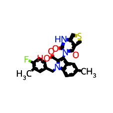 Cc1ccc2c(c1)c(-n1c(=O)[nH]c3cscc3c1=O)c(C(=O)O)n2Cc1ccc(F)c(C)c1